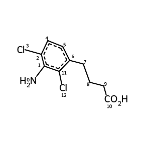 Nc1c(Cl)ccc(CCCC(=O)O)c1Cl